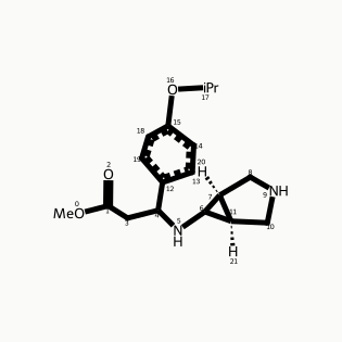 COC(=O)CC(NC1[C@H]2CNC[C@@H]12)c1ccc(OC(C)C)cc1